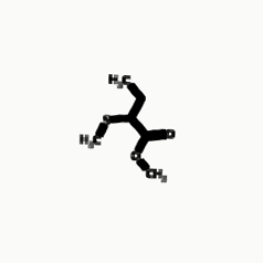 CCC(SC)C(=O)OC